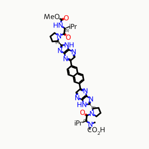 COC(=O)N[C@H](C(=O)N1CCC[C@@H]1c1nc2nc(-c3ccc4cc(-c5cnc6[nH]c([C@@H]7CCCN7C(=O)[C@H](C(C)C)N(C)C(=O)O)nc6n5)ccc4c3)cnc2[nH]1)C(C)C